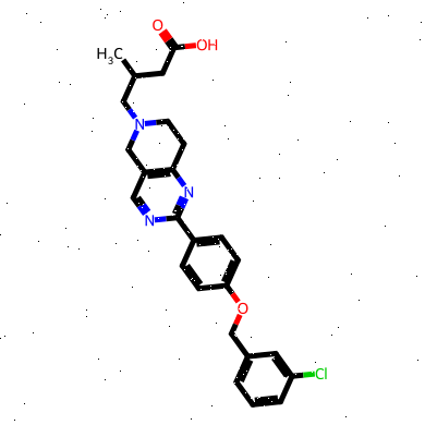 CC(CC(=O)O)CN1CCc2nc(-c3ccc(OCc4cccc(Cl)c4)cc3)ncc2C1